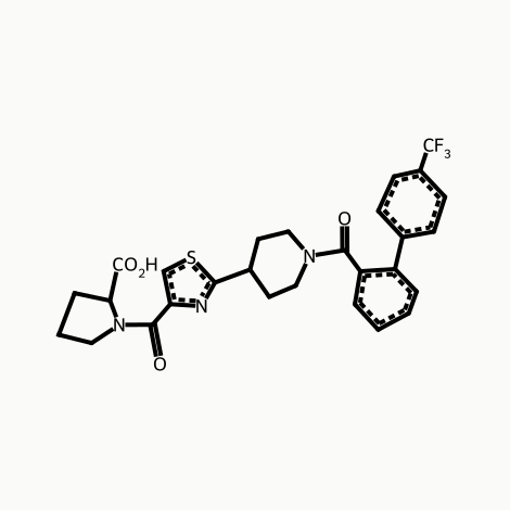 O=C(O)C1CCCN1C(=O)c1csc(C2CCN(C(=O)c3ccccc3-c3ccc(C(F)(F)F)cc3)CC2)n1